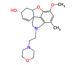 COc1cc(C)c2c3c1OC1C[C@@H](O)C=CC31CCN(CCN1CCOCC1)C2